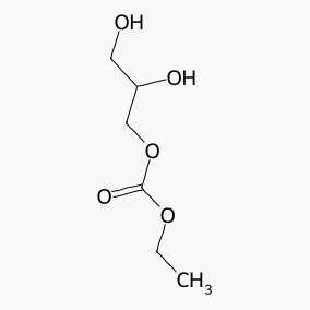 CCOC(=O)OCC(O)CO